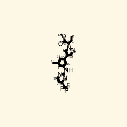 CCC(C(=O)OC)n1cc(-c2cc(C)cc(Nc3nccc(C(F)(F)F)n3)c2)cn1